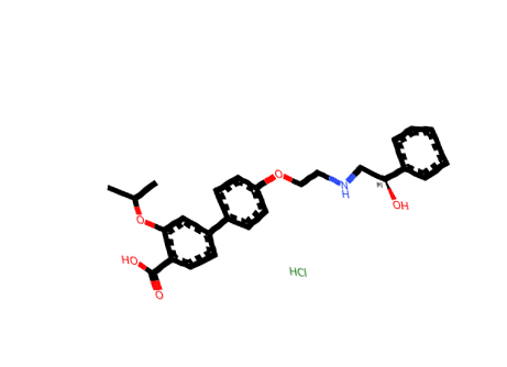 CC(C)Oc1cc(-c2ccc(OCCNC[C@H](O)c3ccccc3)cc2)ccc1C(=O)O.Cl